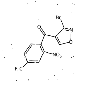 O=C(c1ccc(C(F)(F)F)cc1[N+](=O)[O-])c1conc1Br